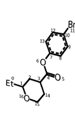 CCC1CC(C(=O)Oc2ccc(Br)cc2)CCO1